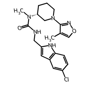 Cc1conc1N1CCC[C@@H](N(C)C(=O)NCc2cc3cc(Cl)ccc3[nH]2)C1